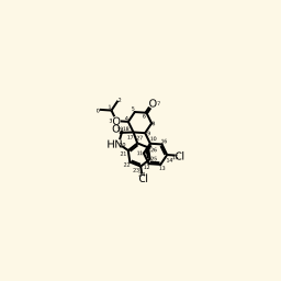 CC(C)OC1CC(=O)CC(c2cccc(Cl)c2)C12C(=O)Nc1cc(Cl)ccc12